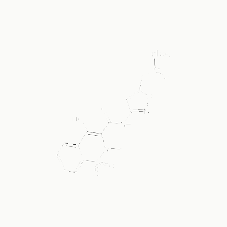 CCCCCCCCCC[S+]([O-])Cc1cc(NC(=O)C2=C(O)c3ccccc3S(=O)(=O)N2C)no1